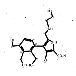 O=C(O)c1[nH]c(CNCCO)c(-c2ccc(CO)c(CO)c2CO)c1Cl